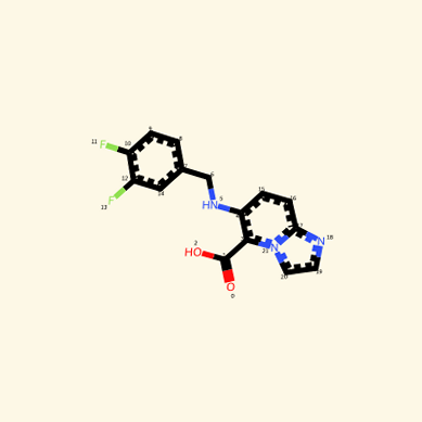 O=C(O)c1c(NCc2ccc(F)c(F)c2)ccc2nccn12